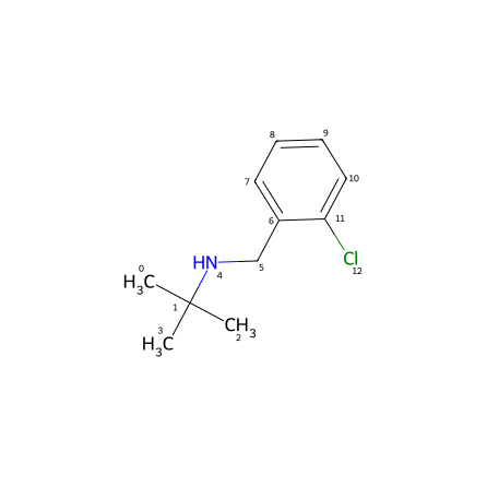 CC(C)(C)NCc1ccccc1Cl